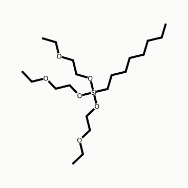 CCCCCCCC[Si](OCCOCC)(OCCOCC)OCCOCC